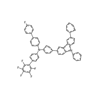 Fc1ccc(-c2ccc(N(c3ccc(-c4ccc5c(c4)c4cc(-c6ccccc6)ccc4n5-c4ccccc4)cc3)c3ccc(-c4c(F)c(F)c(F)c(F)c4F)cc3)cc2)cc1